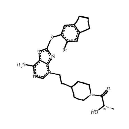 C[C@H](O)C(=O)N1CCC(CCn2cnc(N)c3nc(Sc4cc5c(cc4Br)CCC5)nc2-3)CC1